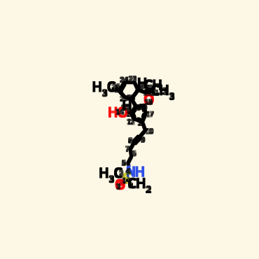 C=S(C)(=O)NCCCC#CCc1cc(O)c2c(c1)OC(C)(C)[C@H]1CC=C(C)C[C@@H]21